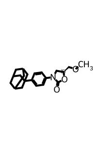 COC[C@@H]1CN(c2ccc(C34CC5CC(CC(C5)C3)C4)cc2)C(=O)O1